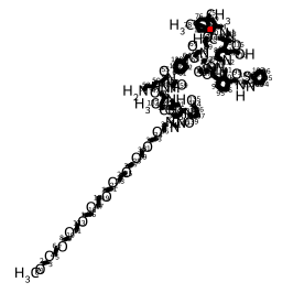 COCCOCCOCCOCCOCCOCCOCCOCCOCCOCCOCCOCCn1cc([C@@H](CC(=O)N[C@H](C(=O)N[C@@H](CCCN)C(=O)N(C(N)=O)c2ccc(COC(=O)N(CCOC34CC5(C)CC(C)(CC(Cn6ncc(-c7ccc(N8CCc9cccc(C(=O)Nc%10nc%11ccccc%11s%10)c9C8)nc7C(=O)O)c6C)(C5)C3)C4)CCS(=O)(=O)O)cc2)C(C)C)N2C(=O)C=CC2=O)nn1